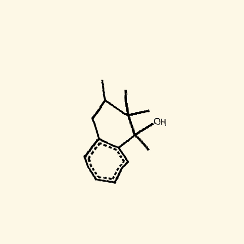 CC1Cc2ccccc2C(C)(O)C1(C)C